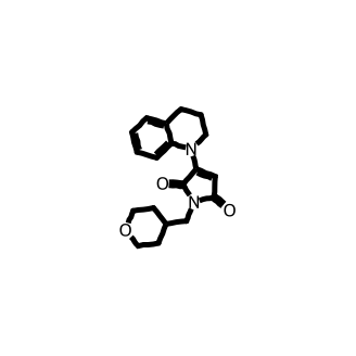 O=C1C=C(N2CCCc3ccccc32)C(=O)N1CC1CCOCC1